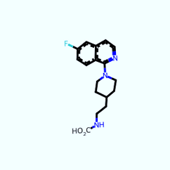 O=C(O)NCCC1CCN(c2nccc3cc(F)ccc23)CC1